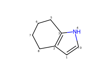 [c]1cc2c([nH]1)CCCC2